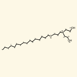 CCCCCCCCCCCCCCCCOCCCN(CCO)CCO